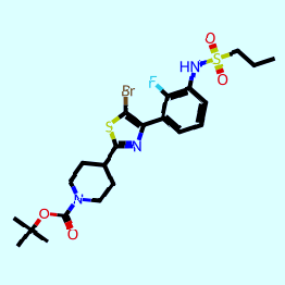 CCCS(=O)(=O)Nc1cccc(-c2nc(C3CCN(C(=O)OC(C)(C)C)CC3)sc2Br)c1F